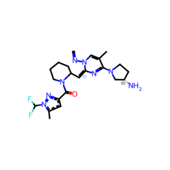 C=NN1C=C(C)C(N2CC[C@H](N)C2)=N/C1=C/C1CCCCN1C(=O)c1cc(C)n(C(F)F)n1